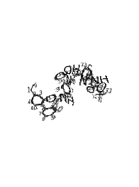 CCc1ccc(-c2ccccc2C(=O)Nc2ccc(N(CCc3csc(NC(=O)OC(C)(C)C)n3)C(=O)O)cc2)cc1